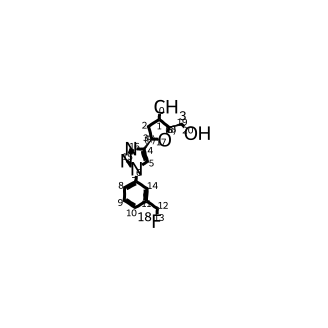 CC1C[C@H](c2cn(-c3cccc(C[18F])c3)nn2)O[C@@H]1CO